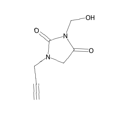 C#CCN1CC(=O)N(CO)C1=O